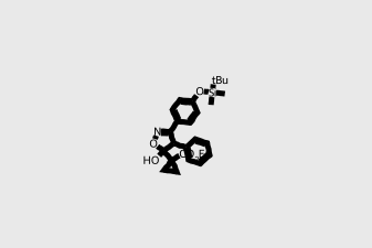 CCOC(=O)C1(C2(O)ON=C(c3ccc(O[Si](C)(C)C(C)(C)C)cc3)C2c2ccccc2)CC1